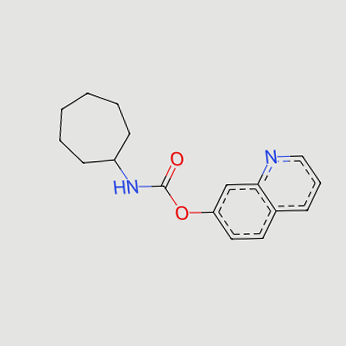 O=C(NC1CCCCCC1)Oc1ccc2cccnc2c1